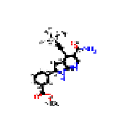 CC(C)[Si](C#Cc1c(C(N)=O)cnc2[nH]c(-c3[c]ccc(C(=O)OC(C)(C)C)c3)cc12)(C(C)C)C(C)C